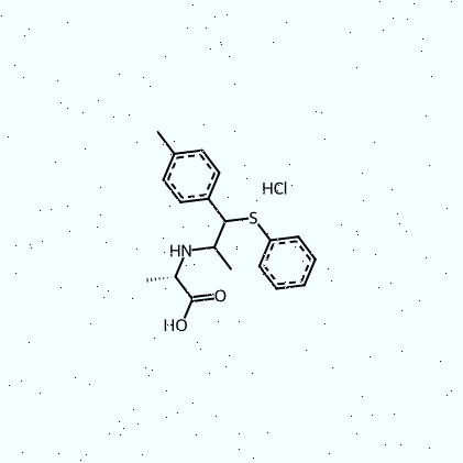 Cc1ccc(C(Sc2ccccc2)C(C)N[C@@H](C)C(=O)O)cc1.Cl